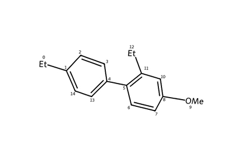 CCc1ccc(-c2ccc(OC)cc2CC)cc1